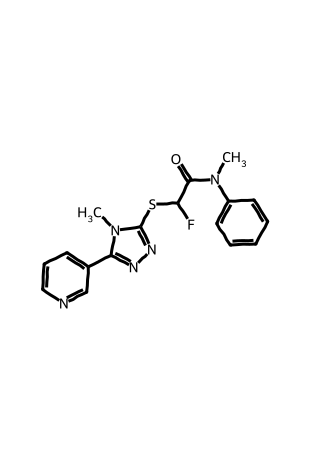 CN(C(=O)C(F)Sc1nnc(-c2cccnc2)n1C)c1ccccc1